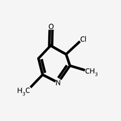 CC1=CC(=O)C(Cl)C(C)=N1